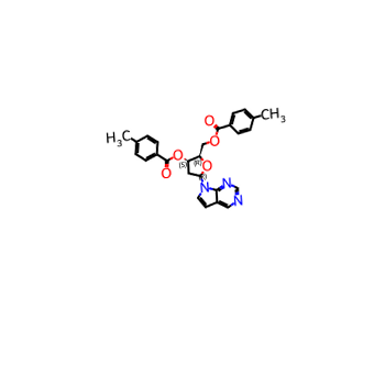 Cc1ccc(C(=O)OC[C@H]2O[C@@H](n3ccc4cncnc43)C[C@@H]2OC(=O)c2ccc(C)cc2)cc1